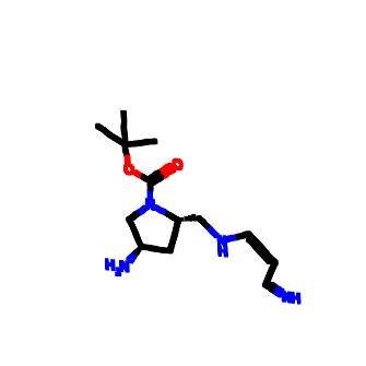 CC(C)(C)OC(=O)N1C[C@H](N)C[C@H]1CN/C=C\C=N